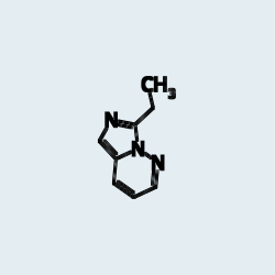 CCc1ncc2cccnn12